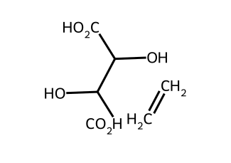 C=C.O=C(O)C(O)C(O)C(=O)O